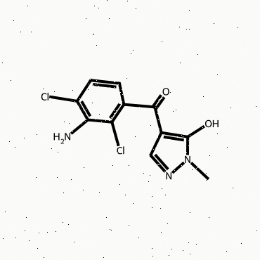 Cn1ncc(C(=O)c2ccc(Cl)c(N)c2Cl)c1O